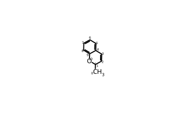 C[C]1C=Cc2ccccc2O1